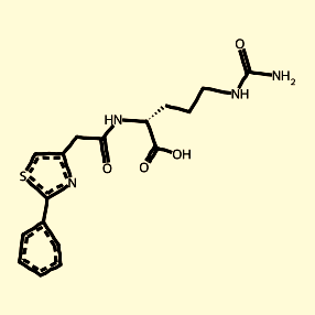 NC(=O)NCCC[C@@H](NC(=O)Cc1csc(-c2ccccc2)n1)C(=O)O